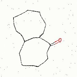 O=C1CCCCC2CCCCCC12